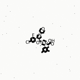 Cc1ccc(C[C@@H](C(=O)O)N2CCN(C(=O)[C@@H]3CN(C4CCOCC4)C[C@H]3c3ccc(Cl)cc3F)[C@@H](C)C2)c(C)c1